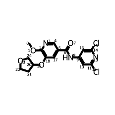 COc1ncc(C(=O)Nc2cc(Cl)nc(Cl)c2)cc1OC1CCOC1